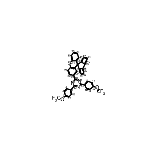 FC(F)(F)Oc1ccc(-c2nc(-c3ccc(OC(F)(F)F)cc3)nc(-c3ccc4c(c3)C3(c5ccccc5S4)c4ccccc4-c4ccccc43)n2)cc1